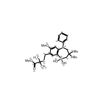 CCCCC1(CCCC)CN(c2ccccc2)c2cc(OC)c(CSC(C)(C)C(=O)OC)cc2S(O)(O)C1